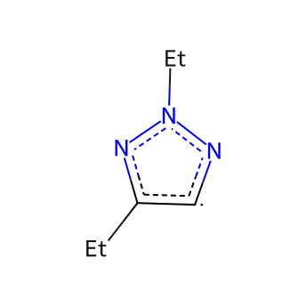 CCc1[c]nn(CC)n1